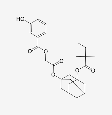 CCC(C)(C)C(=O)OC12CC3CC(CC(OC(=O)COC(=O)c4cccc(O)c4)(C3)C1)C2